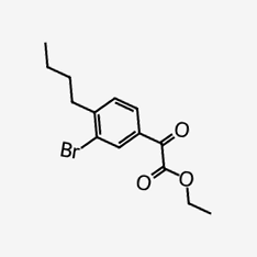 CCCCc1ccc(C(=O)C(=O)OCC)cc1Br